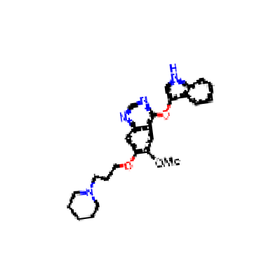 COc1cc2c(Oc3c[nH]c4ccccc34)ncnc2cc1OCCCN1CCCCC1